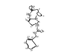 O=C1COC2CN(C(=O)OCc3ccccc3)CCC2N1